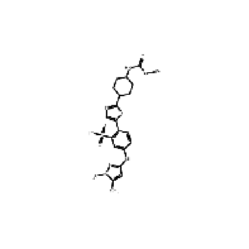 Cc1cc(Nc2ccc(-c3cnc(C4CCC(NC(=O)OC(C)C)CC4)s3)c(S(=O)(=O)C(C)C)c2)nn1C